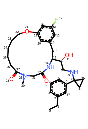 CCc1cccc(C2(NC[C@@H](O)[C@@H]3Cc4cc(F)cc(c4)OCCCCCC(=O)N(C)CC(=O)N3)CC2)c1